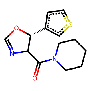 O=C(C1N=CO[C@@H]1c1ccsc1)N1CCCCC1